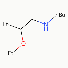 CCCCNCC(CC)OCC